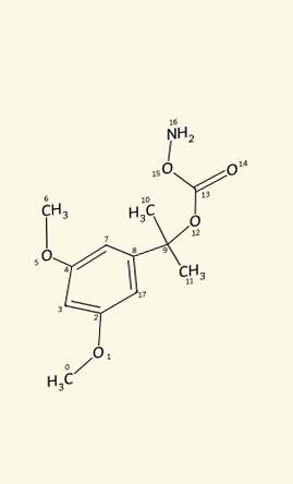 COc1cc(OC)cc(C(C)(C)OC(=O)ON)c1